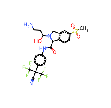 CS(=O)(=O)c1ccc2c(c1)CN(C(O)CCN)C2C(=O)Nc1ccc(C(C#N)(C(F)(F)F)C(F)(F)F)cc1